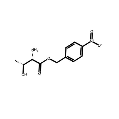 C[C@@H](O)[C@H](N)C(=O)OCc1ccc([N+](=O)[O-])cc1